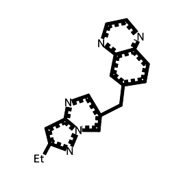 CCc1cc2ncc(Cc3ccc4nccnc4c3)cn2n1